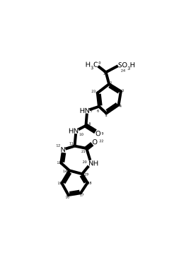 CC(c1cccc(NC(=O)NC2N=Cc3ccccc3NC2=O)c1)S(=O)(=O)O